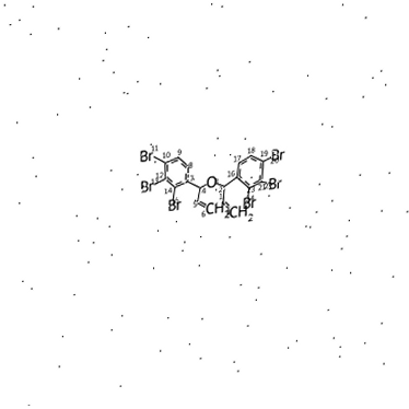 C=CC(OC(C=C)c1ccc(Br)c(Br)c1Br)c1ccc(Br)c(Br)c1Br